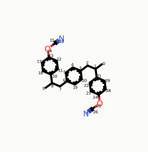 CC(Cc1ccc(CC(C)c2ccc(OC#N)cc2)cc1)c1ccc(OC#N)cc1